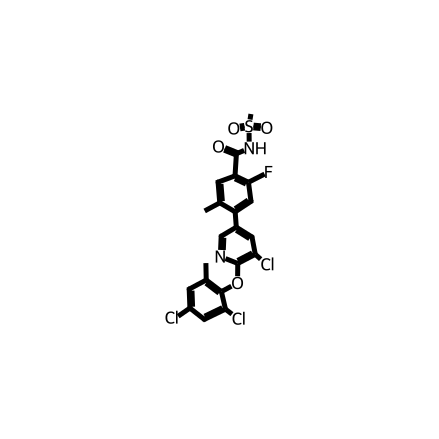 Cc1cc(C(=O)NS(C)(=O)=O)c(F)cc1-c1cnc(Oc2c(C)cc(Cl)cc2Cl)c(Cl)c1